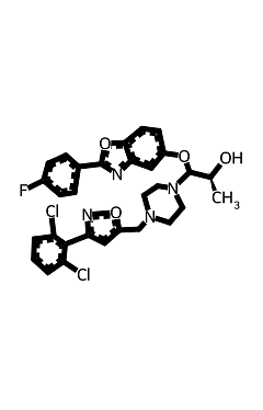 C[C@H](O)C(Oc1ccc2oc(-c3ccc(F)cc3)nc2c1)N1CCN(Cc2cc(-c3c(Cl)cccc3Cl)no2)CC1